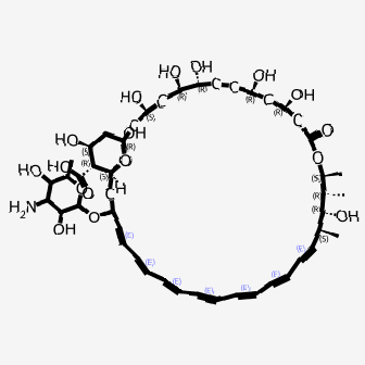 CC1OC(OC2/C=C/C=C/C=C/C=C/C=C/C=C/C=C/[C@H](C)[C@@H](O)[C@@H](C)[C@H](C)OC(=O)C[C@H](O)C[C@H](O)CC[C@@H](O)[C@H](O)C[C@H](O)C[C@]3(O)C[C@H](O)[C@@H](C(=O)O)[C@H](C2)O3)C(O)C(N)C1O